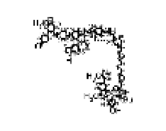 Cc1ncsc1-c1ccc([C@H](C)NC(=O)[C@@H]2C[C@@H](O)CN2C(=O)[C@@H](NC(=O)CCOCCOCCOCCN2CCN(CCNc3ccc(S(=O)(=O)NC(=O)c4ccc(N5CCN(CC6=C(c7ccc(Cl)cc7)CC(C)(C)CC6)CC5)cc4N4CCCOc5nc6[nH]ccc6cc54)cc3[N+](=O)[O-])CC2)C(C)(C)C)cc1